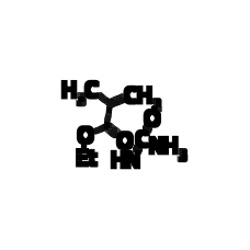 C=C(C)C(=O)OCC.N.N=C=O